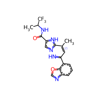 C/C(=C/C(=N)c1cccc2ncoc12)c1ncc(C(=O)NC(C)C(F)(F)F)[nH]1